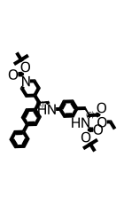 CCOC(=O)[C@H](Cc1ccc(NC[C@@H](c2ccc(-c3ccccc3)cc2)C2CCN(C(=O)OC(C)(C)C)CC2)cc1)NC(=O)OC(C)(C)C